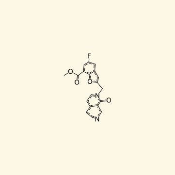 COC(=O)c1cc(F)cc2cc(Cn3ccc4ccncc4c3=O)oc12